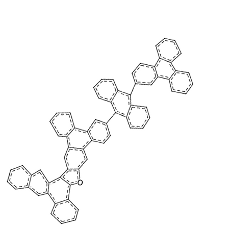 c1ccc2cc3c(cc2c1)c1ccccc1c1oc2cc4c5ccc(-c6c7ccccc7c(-c7ccc8c9ccccc9c9ccccc9c8c7)c7ccccc67)cc5c5ccccc5c4cc2c31